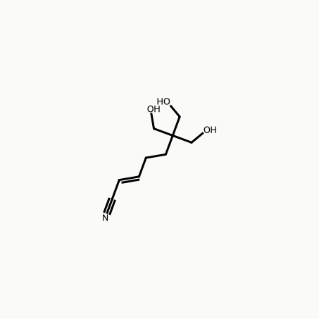 N#CC=CCCC(CO)(CO)CO